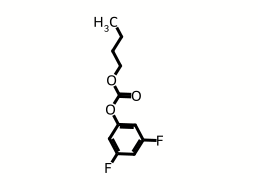 CCCCOC(=O)Oc1cc(F)cc(F)c1